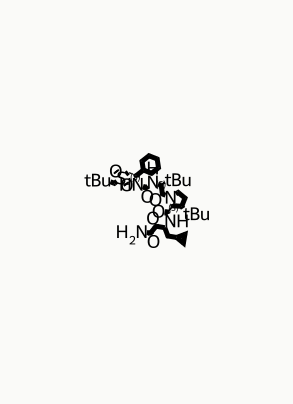 CC(C)(C)CS(=O)(=O)C[C@@H](NC(=O)N[C@H](C(=O)N1CCC(C(C)(C)C)[C@H]1C(=O)NC(CC1CC1)C(=O)C(N)=O)C(C)(C)C)C1CCCCC1